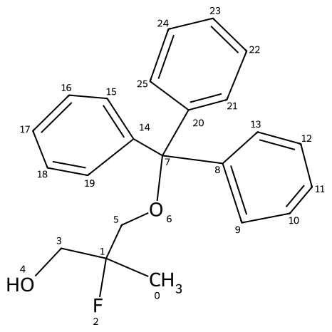 CC(F)(CO)COC(c1ccccc1)(c1ccccc1)c1ccccc1